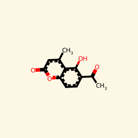 CC(=O)c1ccc2oc(=O)cc(C)c2c1O